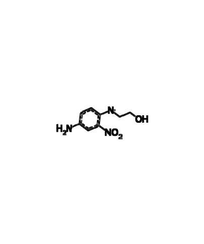 Nc1ccc([N]CCO)c([N+](=O)[O-])c1